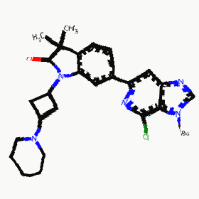 CC[C@H](C)n1cnc2cc(-c3ccc4c(c3)N(C3CC(N5CCCCC5)C3)C(=O)C4(C)C)nc(Cl)c21